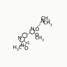 COc1cc(-c2ccc3ncc4c(c3c2)C2(CC2)C(=O)N4C)cnc1OCCCN(C)C